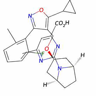 Cc1cc(C(=O)O)nc(N2[C@@H]3CC[C@H]2C[C@@H](OCc2c(-c4c(C)cccc4F)noc2C2CC2)C3)n1